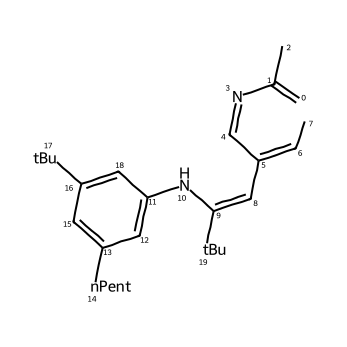 C=C(C)\N=C/C(=C\C)/C=C(\Nc1cc(CCCCC)cc(C(C)(C)C)c1)C(C)(C)C